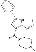 C=C(c1cc(-c2ccccc2)[nH]c1/N=C\C)N1CCN(C)CC1